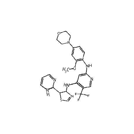 COc1cc(N2CCOCC2)ccc1Nc1cc(NC2N=CSC2C2N=CC=CN2)c(C(F)(F)F)cn1